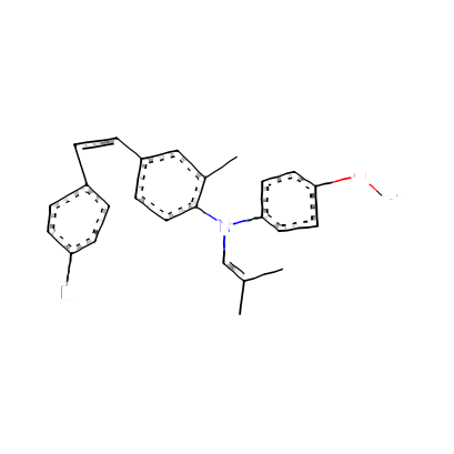 CCc1ccc(/C=C\c2ccc(N(C=C(C)C)c3ccc(OC(C)C)cc3)c(C)c2)cc1